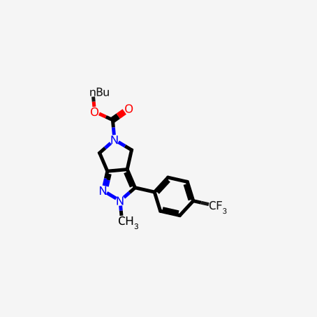 CCCCOC(=O)N1Cc2nn(C)c(-c3ccc(C(F)(F)F)cc3)c2C1